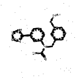 CCC(=O)N(Cc1cccc(COC)c1)c1cccc(-c2nnn[nH]2)c1